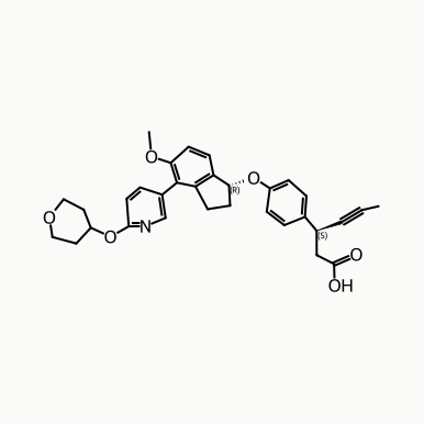 CC#C[C@@H](CC(=O)O)c1ccc(O[C@@H]2CCc3c2ccc(OC)c3-c2ccc(OC3CCOCC3)nc2)cc1